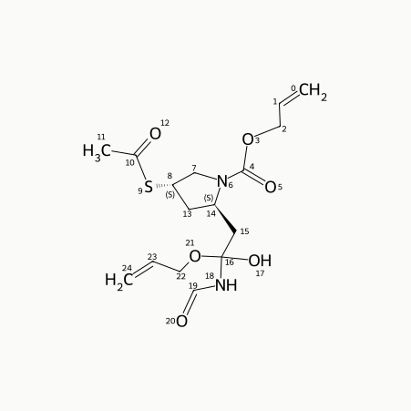 C=CCOC(=O)N1C[C@@H](SC(C)=O)C[C@@H]1CC(O)(NC=O)OCC=C